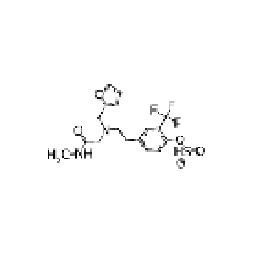 CNC(=O)CN(CCc1ccc(O[SH](=O)=O)c(C(F)(F)F)c1)Cc1ccco1